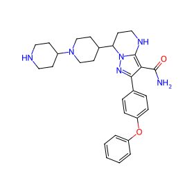 NC(=O)c1c(-c2ccc(Oc3ccccc3)cc2)nn2c1NCCC2C1CCN(C2CCNCC2)CC1